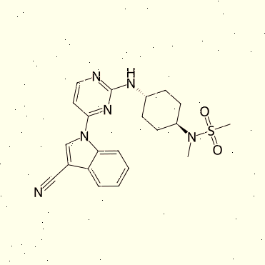 CN([C@H]1CC[C@H](Nc2nccc(-n3cc(C#N)c4ccccc43)n2)CC1)S(C)(=O)=O